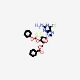 Nc1nc(Cl)c2ncn([C@@H]3O[C@H](COC(=O)c4ccccc4)[C@@H](OC(=S)Oc4ccccc4)[C@H]3F)c2n1